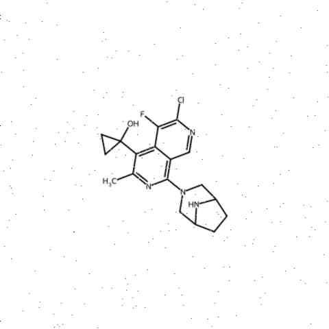 Cc1nc(N2CC3CCC(C2)N3)c2cnc(Cl)c(F)c2c1C1(O)CC1